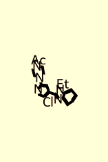 CCn1c(-c2cc(N3CCN(C(C)=O)CC3)ncc2Cl)nc2ccccc21